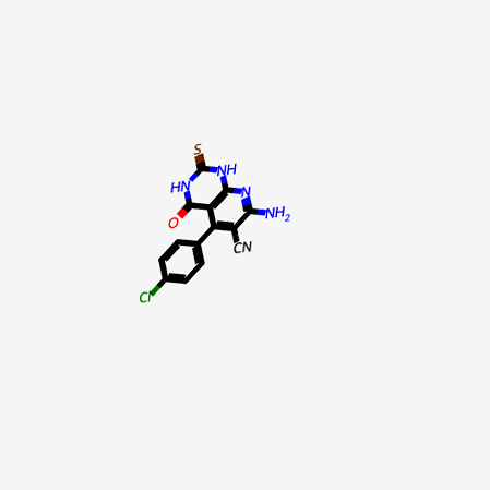 N#Cc1c(N)nc2[nH]c(=S)[nH]c(=O)c2c1-c1ccc(Cl)cc1